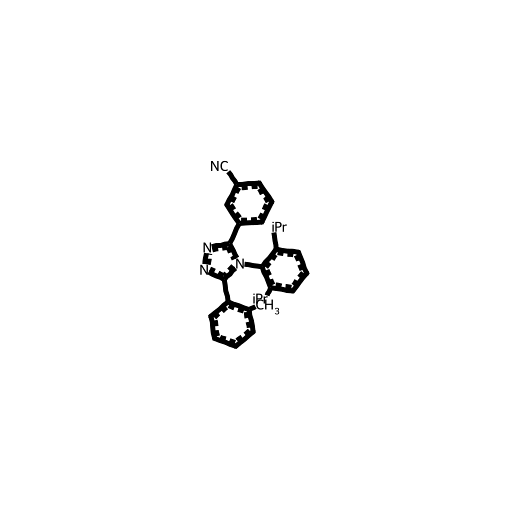 Cc1ccccc1-c1nnc(-c2cccc(C#N)c2)n1-c1c(C(C)C)cccc1C(C)C